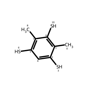 Cc1c(S)cc(S)c(C)c1S